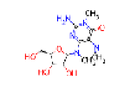 C=Nc1c(N(C)[C@@H]2O[C@H](CO)C(O)C2O)nc(N)n(C)c1=O